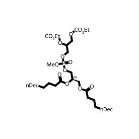 CCCCCCCCCCCCCC(=O)OC[C@H](COP(=O)(OC)OCC(COC(=O)OCC)OC(=O)OCC)OC(=O)CCCCCCCCCCCCC